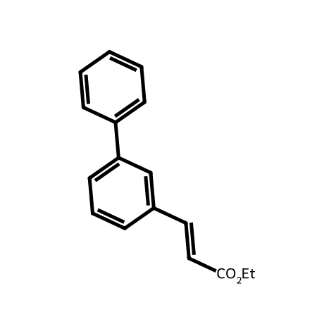 CCOC(=O)C=Cc1cccc(-c2ccccc2)c1